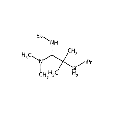 CCC[SiH2]C(C)(C)C(NCC)N(C)C